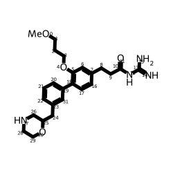 COCCCOc1cc(CCC(=O)NC(=N)N)ccc1-c1cccc(CC2CNCCO2)c1